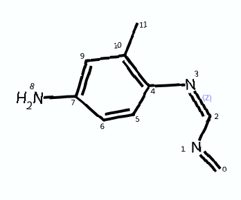 C=N/C=N\c1ccc(N)cc1C